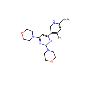 CC(=O)NC1=CC(C(F)(F)F)=C(C2=CC(N3CCOCC3)=NC(N3CCOCC3)N2)CN1